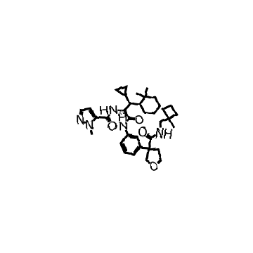 Cn1nccc1C(=O)N[C@H](C(=O)Nc1cccc(C2(C(=O)NCC3(C)CCC3)CCOC2)c1)C(C1CC1)C1CCCCC1(C)C